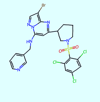 O=S(=O)(c1c(Cl)cc(Cl)cc1Cl)N1CCCC(c2cc(NCc3cccnc3)n3ncc(Br)c3n2)C1